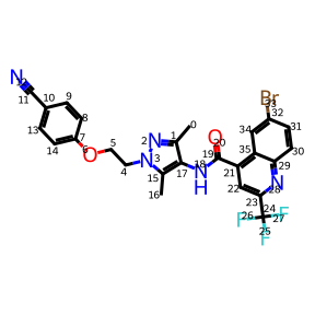 Cc1nn(CCOc2ccc(C#N)cc2)c(C)c1NC(=O)c1cc(C(F)(F)F)nc2ccc(Br)cc12